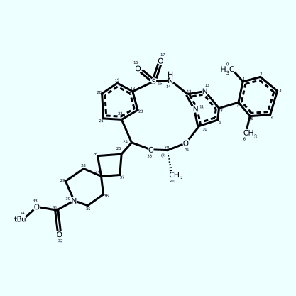 Cc1cccc(C)c1-c1cc2nc(n1)NS(=O)(=O)c1cccc(c1)C(C1CC3(CCN(C(=O)OC(C)(C)C)CC3)C1)C[C@@H](C)O2